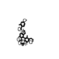 COc1ccc(C(=O)N2CCc3c2cc(C)c([C@H](OC(C)(C)C)C(=O)O)c3-c2cc(F)c3c(c2C)CCCO3)c(C)c1